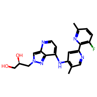 Cc1ccc(F)c(-c2cc(Nc3ccnc4cn(C[C@H](O)CO)nc34)c(C)cn2)n1